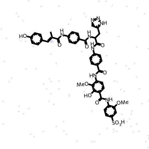 COc1cc(S(=O)(=O)O)ccc1NC(=O)c1ccc(NC(=O)c2ccc(NC(=O)C(Cc3cnn[nH]3)NC(=O)c3ccc(NC(=O)/C(C)=C/c4ccc(O)cc4)cc3)cc2)c(OC)c1O